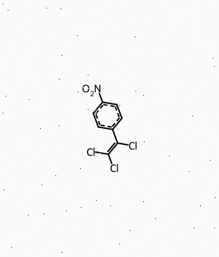 O=[N+]([O-])c1ccc(C(Cl)=C(Cl)Cl)cc1